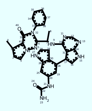 Cc1ccn2nc(C(C)Nc3ncnc4[nH]cc(-c5cc(NC(N)=O)cc6[nH]ccc56)c34)n(-c3ccccc3)c(=O)c12